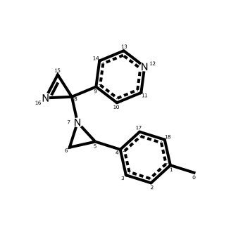 Cc1ccc(C2CN2C2(c3ccncc3)C=N2)cc1